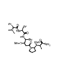 CCC(C)C(C(CC(=O)N1CCCC1C(OC)C(C)C(N)=O)OC)N(C)C(=O)C(NC(=O)C(C(C)C)N(C)C)C(C)C